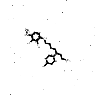 CCCC(CCCCOc1ccc(OC)c(F)c1F)C1CCC(I)CC1